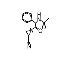 CC(=O)NC(C(=O)N1CC1C#N)c1ccccc1